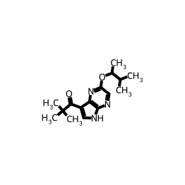 CC(C)C(C)Oc1cnc2[nH]cc(C(=O)C(C)(C)C)c2n1